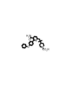 CC(C)(Cc1ccc(C(N)=O)c(-c2ccc(Oc3ccccc3)cc2)n1)C1CCN(C(=O)O)CC1